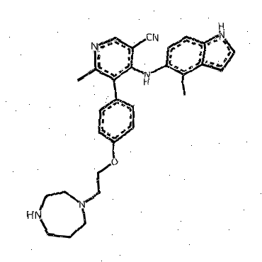 Cc1ncc(C#N)c(Nc2ccc3[nH]ccc3c2C)c1-c1ccc(OCCN2CCCNCC2)cc1